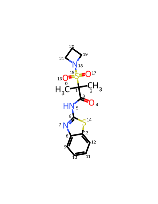 CC(C)(C(=O)Nc1nc2ccccc2s1)S(=O)(=O)N1CCC1